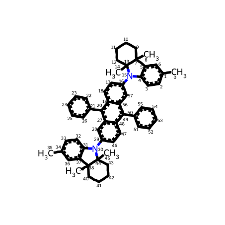 Cc1ccc2c(c1)C1(C)CCCCC1(C)N2c1ccc2c(-c3ccccc3)c3cc(N4c5ccc(C)cc5C5(C)CCCCC45C)ccc3c(-c3ccccc3)c2c1